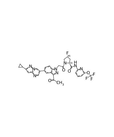 CC(=O)c1nn(CC(=O)N2C[C@H](F)C[C@H]2C(=O)Nc2cccc(OC(F)(F)F)n2)c2ccc(-c3cnc4cc(C5CC5)nn4c3)cc12